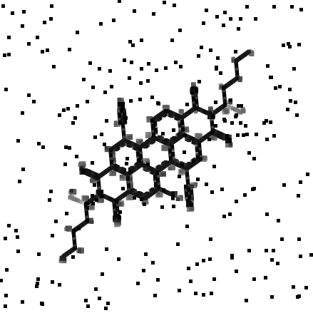 CCCC[C@H](C)N1C(=O)c2ccc3c4c(C#N)cc5c6c(cc(F)c(c7c(C#N)cc(c2c37)C1=S)c64)C(=O)N([C@@H](C)CCCC)C5=S